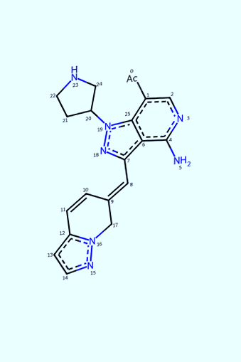 CC(=O)c1cnc(N)c2c(C=C3C=Cc4ccnn4C3)nn(C3CCNC3)c12